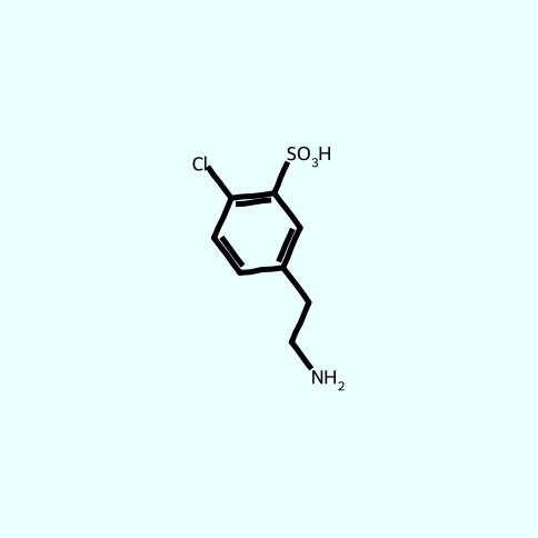 NCCc1ccc(Cl)c(S(=O)(=O)O)c1